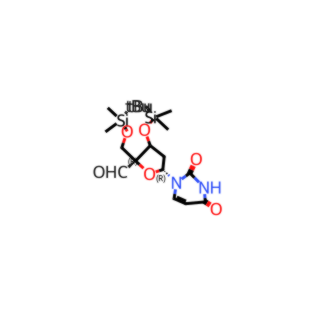 CC(C)(C)[Si](C)(C)OC[C@@]1(C=O)O[C@@H](n2ccc(=O)[nH]c2=O)CC1O[Si](C)(C)C(C)(C)C